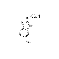 O=C(O)Nc1nc2ccc([N+](=O)[O-])cc2[nH]1